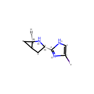 Ic1c[nH]c([C@@H]2CC3C[C@H]3N2)n1